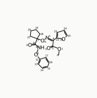 COC(=O)C(=NOC1(C(=O)NOc2ccccc2)CCCC1)c1ccco1